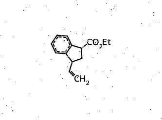 C=CC1CC(C(=O)OCC)c2ccccc21